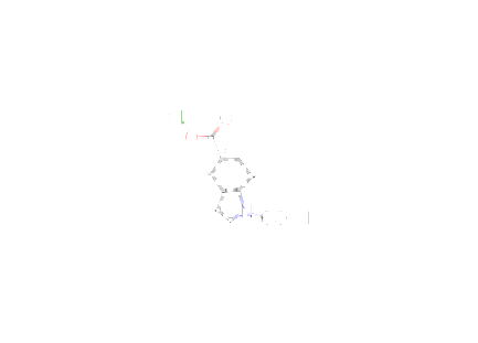 O=C(OCl)c1ccc2c(ccn2C(=O)O)c1